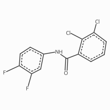 O=C(Nc1ccc(F)c(F)c1)c1cccc(Cl)c1Cl